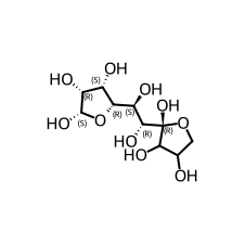 OC1CO[C@@](O)([C@H](O)[C@H](O)[C@@H]2O[C@H](O)[C@H](O)[C@@H]2O)C1O